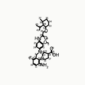 COc1cc(NCc2c(F)ccc(N)c2N2CCC(C(=O)O)CC2)ccc1NC(=O)COC1CCCC(C)C1C(C)C